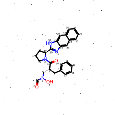 O=CN(O)C[C@@H](Cc1ccccc1)C(=O)N1CCC[C@H]1c1nc2cc3ccccc3cc2[nH]1